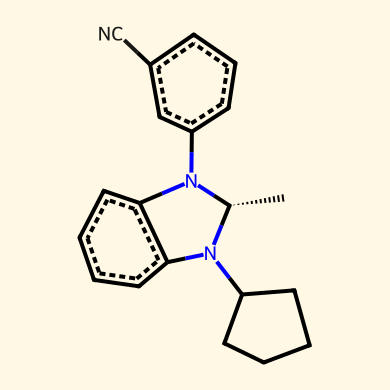 C[C@H]1N(c2cccc(C#N)c2)c2ccccc2N1C1CCCC1